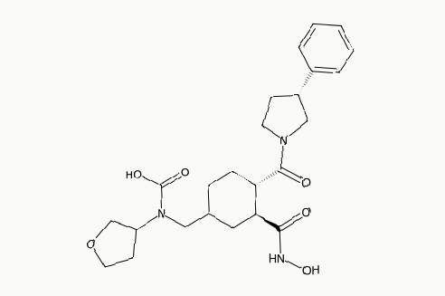 O=C(NO)[C@H]1CC(CN(C(=O)O)C2CCOC2)CC[C@@H]1C(=O)N1CC[C@H](c2ccccc2)C1